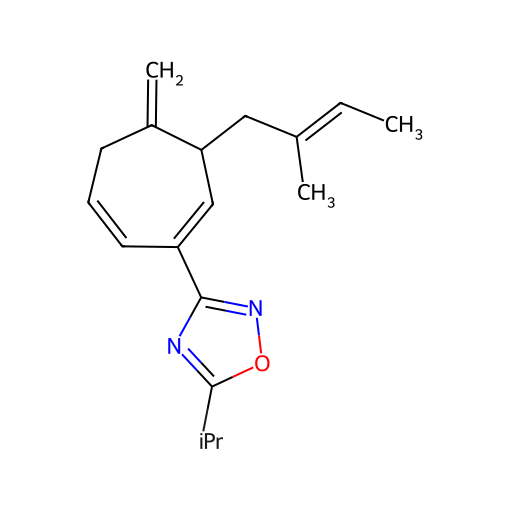 C=C1CC=CC(c2noc(C(C)C)n2)=CC1C/C(C)=C/C